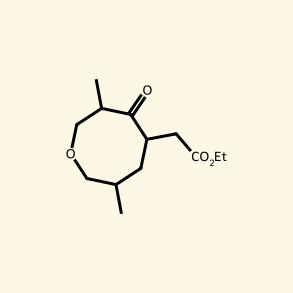 CCOC(=O)CC1CC(C)COCC(C)C1=O